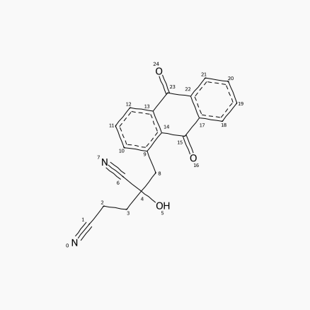 N#CCCC(O)(C#N)Cc1cccc2c1C(=O)c1ccccc1C2=O